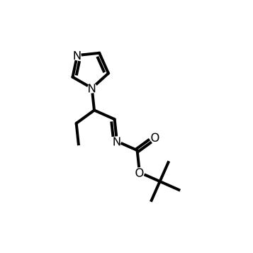 CCC(C=NC(=O)OC(C)(C)C)n1ccnc1